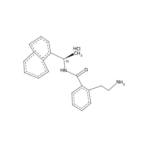 C[C@@H](NC(=O)c1ccccc1CCN)c1cccc2ccccc12.Cl